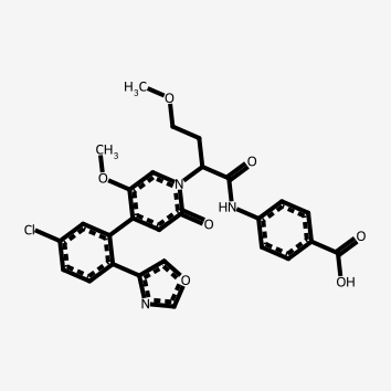 COCCC(C(=O)Nc1ccc(C(=O)O)cc1)n1cc(OC)c(-c2cc(Cl)ccc2-c2cocn2)cc1=O